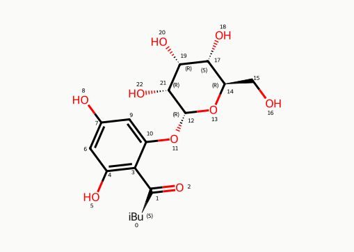 CC[C@H](C)C(=O)c1c(O)cc(O)cc1O[C@H]1O[C@H](CO)[C@@H](O)[C@@H](O)[C@H]1O